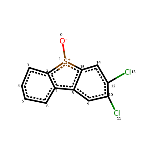 [O-][s+]1c2ccccc2c2cc(Cl)c(Cl)cc21